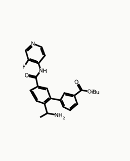 CC(C)COC(=O)c1cccc(-c2cc(C(=O)Nc3ccncc3F)ccc2C(C)N)c1